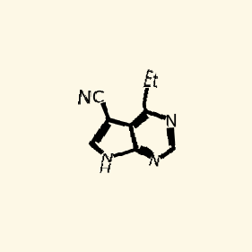 CCc1ncnc2[nH]cc(C#N)c12